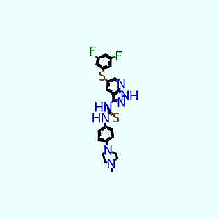 CN1CCN(c2ccc(NC(=S)Nc3n[nH]c4ncc(Sc5cc(F)cc(F)c5)cc34)cc2)CC1